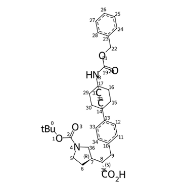 CC(C)(C)OC(=O)N1CC[C@H]([C@H](Cc2ccc(C34CCC(NC(=O)OCc5ccccc5)(CC3)CC4)cc2)C(=O)O)C1